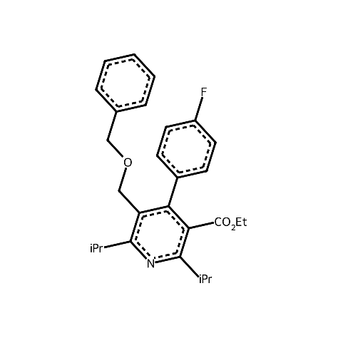 CCOC(=O)c1c(C(C)C)nc(C(C)C)c(COCc2ccccc2)c1-c1ccc(F)cc1